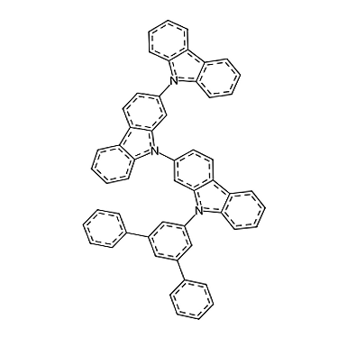 c1ccc(-c2cc(-c3ccccc3)cc(-n3c4ccccc4c4ccc(-n5c6ccccc6c6ccc(-n7c8ccccc8c8ccccc87)cc65)cc43)c2)cc1